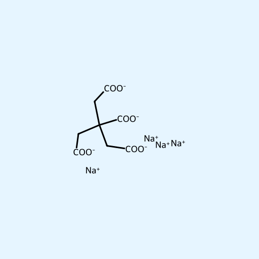 O=C([O-])CC(CC(=O)[O-])(CC(=O)[O-])C(=O)[O-].[Na+].[Na+].[Na+].[Na+]